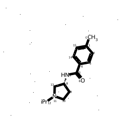 Cc1ccc(C(=O)N[C@@H]2CCN(C(C)C)C2)cc1